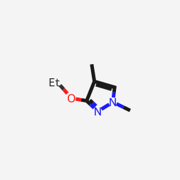 CCOc1nn(C)cc1C